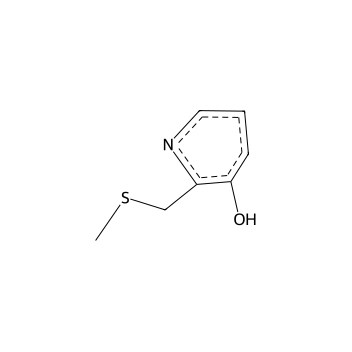 CSCc1ncccc1O